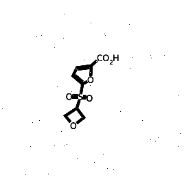 O=C(O)c1ccc(S(=O)(=O)C2COC2)o1